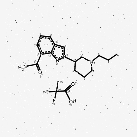 CCCN1CCCC(n2cc3cccc(C(N)=O)c3n2)C1.O=C(O)C(F)(F)F